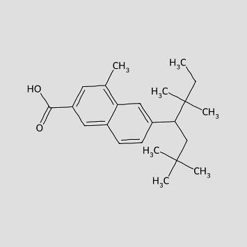 CCC(C)(C)C(CC(C)(C)C)c1ccc2cc(C(=O)O)cc(C)c2c1